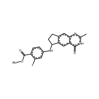 Cc1nc2cc3c(cc2c(=O)[nH]1)C(Nc1ccc(C(=O)OC(C)(C)C)c(F)c1)CC3